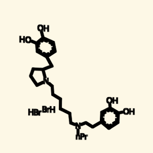 Br.Br.CCCN(CCCCCCN1CCCC1Cc1ccc(O)c(O)c1)CCc1ccc(O)c(O)c1